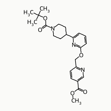 COC(=O)c1ccc(COc2cccc(C3CCN(C(=O)OC(C)(C)C)CC3)n2)nc1